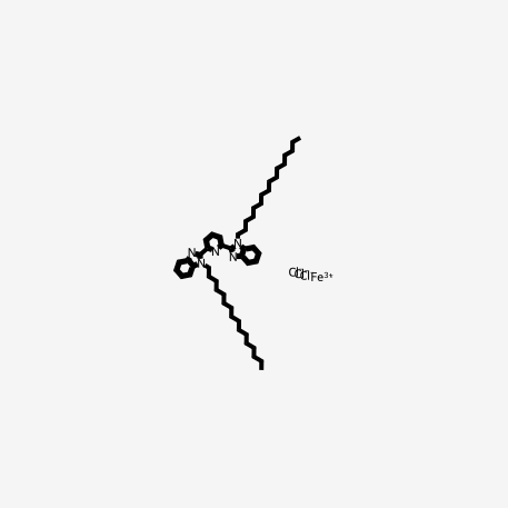 CCCCCCCCCCCCCCCCn1c(-c2cccc(-c3nc4ccccc4n3CCCCCCCCCCCCCCCC)n2)nc2ccccc21.[Cl-].[Cl-].[Cl-].[Fe+3]